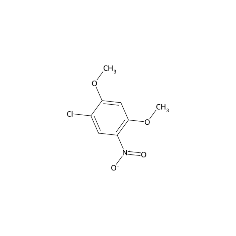 COc1cc(OC)c([N+](=O)[O-])cc1Cl